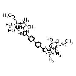 COCC[C@@H](C(=O)N[C@@H](c1nc(-c2ccc(-c3ccc(-c4c[nH]c([C@H](NC(=O)[C@H](CCOC)N(C)C(=O)O)C(C)C)n4)cc3)cc2)c[nH]1)C(C)C)N(C)C(=O)O